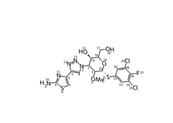 COC1C(n2cc(-c3csc(N)n3)nn2)[C@@H](O)C(CO)O[C@@H]1Sc1cc(Cl)c(F)c(Cl)c1